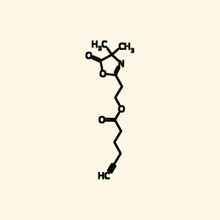 C#CCCCC(=O)OCCC1=NC(C)(C)C(=O)O1